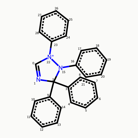 C1=NC(c2ccccc2)(c2ccccc2)N(c2ccccc2)[N+]1c1ccccc1